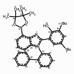 CC(C)(C)c1cc(-c2nc3c(B4OC(C)(C)C(C)(C)O4)cccc3n2-c2ccccc2-c2ccccc2)c(O)c(C(C)(C)C)c1